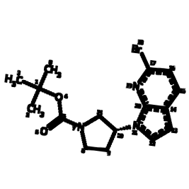 CC(C)(C)OC(=O)N1CC[C@@H](n2ccc3ccc(Br)nc32)C1